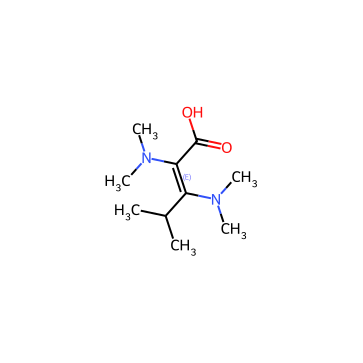 CC(C)/C(=C(/C(=O)O)N(C)C)N(C)C